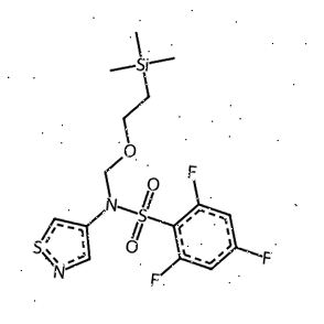 C[Si](C)(C)CCOCN(c1cnsc1)S(=O)(=O)c1c(F)cc(F)cc1F